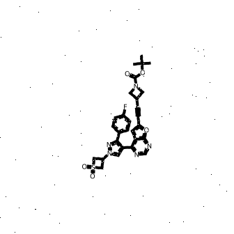 CC(C)(C)OC(=O)N1CC(C#Cc2cc3c(-c4cn(C5CS(=O)(=O)C5)nc4-c4ccc(F)cc4)ncnc3o2)C1